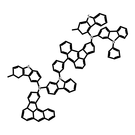 CC1C=c2sc3ccccc3c2=C(N(c2ccc3c(c2)-c2c4ccccc4c(-c4cccc(-n5c6ccccc6c6ccc(N(c7ccc8c(c7)C7=c9ccccc9=CC9=CC=CC8C97)c7ccc8sc9c(c8c7)CC(C)C=C9)cc65)c4)c4cccc-3c24)c2ccc3c4ccccc4n(-c4ccccc4)c3c2)C1